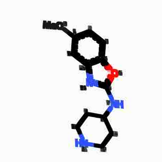 COc1ccc2oc(NC3CCNCC3)nc2c1